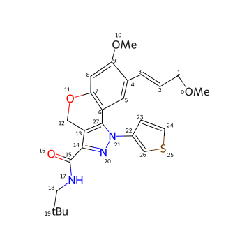 COC/C=C/c1cc2c(cc1OC)OCc1c(C(=O)NCC(C)(C)C)nn(-c3ccsc3)c1-2